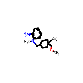 COCC1(C)CCC(CN(C)c2ccccc2N)CC1